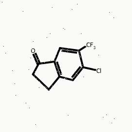 O=C1CCc2cc(Cl)c(C(F)(F)F)cc21